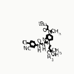 CN(C(=O)CC(C)(C)C)c1ccc2c(c1)nc(NC(=O)Nc1ccc(Cl)c(C#N)c1)n2CCC(C)(C)O